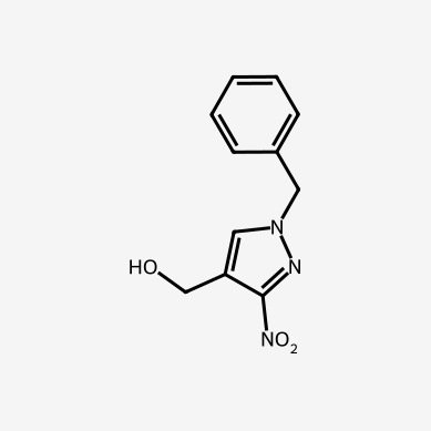 O=[N+]([O-])c1nn(Cc2ccccc2)cc1CO